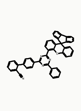 N#Cc1ccccc1-c1ccc(-c2nc(-c3ccccc3)nc(-c3cccc4c3Oc3ccccc3C43c4ccccc4-c4ccccc43)n2)cc1